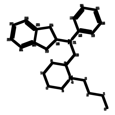 CCCCN1CCCCC1CN(c1ccccc1)C1Cc2ccccc2C1